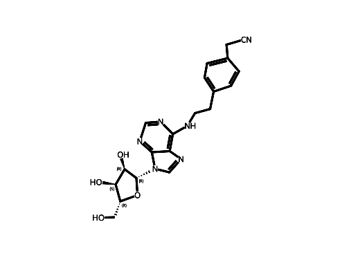 N#CCc1ccc(CCNc2ncnc3c2ncn3[C@@H]2O[C@H](CO)[C@@H](O)[C@H]2O)cc1